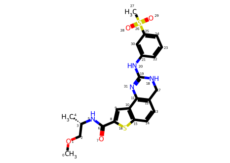 COC[C@H](C)NC(=O)c1cc2c3c(ccc2s1)CNC(Nc1cccc(S(C)(=O)=O)c1)=N3